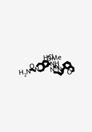 COc1cc2c(cc1Nc1ncc3ccc(-c4cccc5c4OCC5)n3n1)CCN(CC(N)=O)CC2.Cl